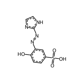 O=S(=O)(O)c1ccc(O)c(N=Nc2ncc[nH]2)c1